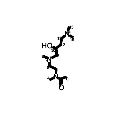 CC(=O)N(C)CCN(C)CC(O)CCN(C)C